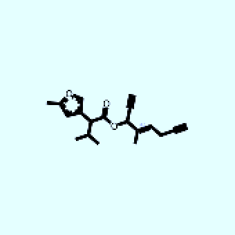 C#CC/C=C(\C)C(C#C)OC(=O)C(c1coc(C)c1)C(C)C